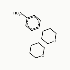 C1CCOCC1.C1CCOCC1.O=S(=O)(O)c1ccccc1